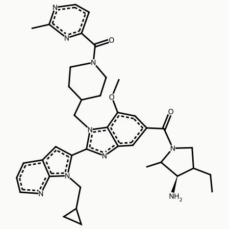 CCC1CN(C(=O)c2cc(OC)c3c(c2)nc(-c2cc4cccnc4n2CC2CC2)n3CC2CCN(C(=O)c3ccnc(C)n3)CC2)C(C)[C@@H]1N